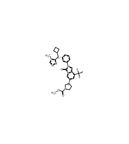 COC(=O)N1CC[C@H](c2cc(C(F)(F)F)c3cn(-c4cccc([C@H](c5nncn5C)C5CCC5)c4)c(=O)n3c2)C1